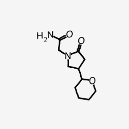 NC(=O)CN1CC(C2CCCCO2)CC1=O